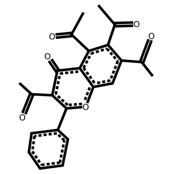 CC(=O)c1cc2oc(-c3ccccc3)c(C(C)=O)c(=O)c2c(C(C)=O)c1C(C)=O